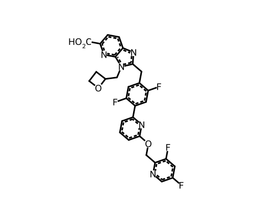 O=C(O)c1ccc2nc(Cc3cc(F)c(-c4cccc(OCc5ncc(F)cc5F)n4)cc3F)n(CC3CCO3)c2n1